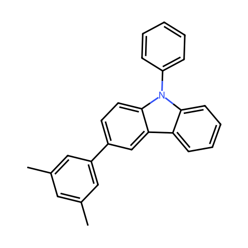 Cc1cc(C)cc(-c2ccc3c(c2)c2ccccc2n3-c2ccccc2)c1